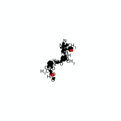 CCC1c2c(C#N)ncn2-c2cnc(Nc3ccc(C(=O)NCCNc4cccc5c4C(=O)N(C(C)CCC(=O)NC=O)C5=O)cc3OC)nc2N1C1CCCC1